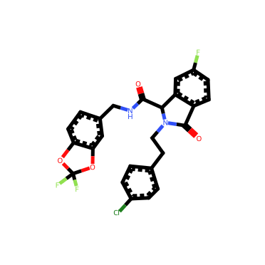 O=C(NCc1ccc2c(c1)OC(F)(F)O2)C1c2cc(F)ccc2C(=O)N1CCc1ccc(Cl)cc1